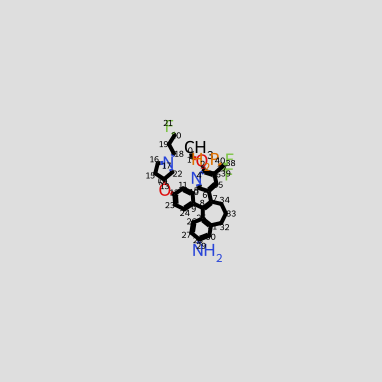 CCOc1ncc(C2=C(c3ccc(O[C@H]4CCN(CCCF)C4)cc3)c3ccc(N)cc3CCC2)cc1C(F)(F)P